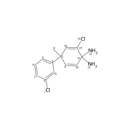 CC1(c2cccc(Cl)c2)C=CC(N)(N)C(Cl)=C1